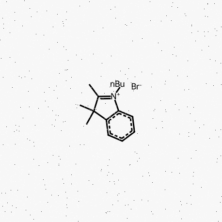 CCCC[N+]1=C(C)C(C)(C)c2ccccc21.[Br-]